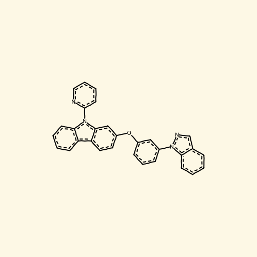 c1ccc(-n2c3ccccc3c3ccc(Oc4cccc(-n5ncc6ccccc65)c4)cc32)nc1